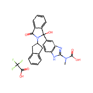 CN(C(=O)O)c1nc2cc(C3(O)c4ccccc4C(=O)N3C3Cc4ccccc4C3)ccc2[nH]1.O=C(O)C(F)(F)F